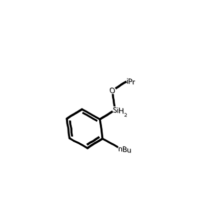 CCCCc1ccccc1[SiH2]OC(C)C